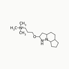 C[N+](C)(C)CCCOC1CC2CCC3CCCC3N2N1